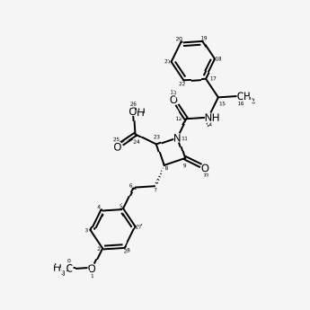 COc1ccc(CC[C@H]2C(=O)N(C(=O)NC(C)c3ccccc3)C2C(=O)O)cc1